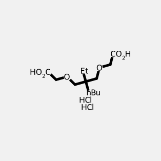 CCCCC(CC)(COCC(=O)O)COCC(=O)O.Cl.Cl